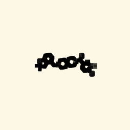 CC1(C)Cc2c(CN3CCC4(CC3)CCN(C(=O)c3ccc(=O)[nH]n3)CC4)cccc2O1